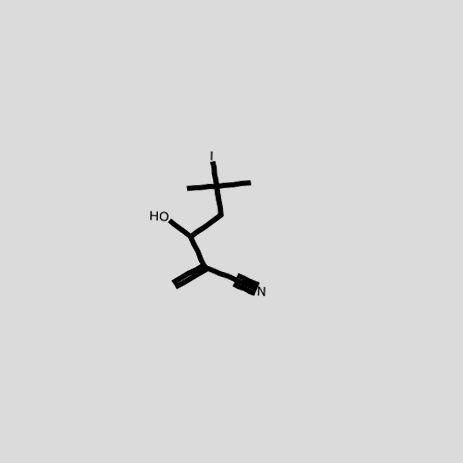 C=C(C#N)C(O)CC(C)(C)I